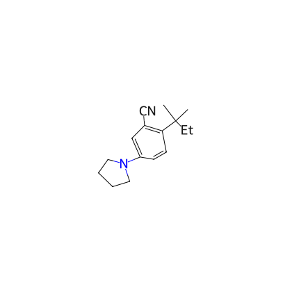 CCC(C)(C)c1ccc(N2CCCC2)cc1C#N